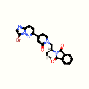 CC(C)C[C@@H](Cn1ccc(-c2ccc3ncc(Br)n3n2)cc1=O)N1C(=O)c2ccccc2C1=O